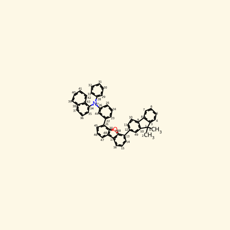 CC1(C)c2ccccc2-c2ccc(-c3cccc4c3oc3c(-c5cccc(N(c6ccccc6)c6cccc7ccccc67)c5)cccc34)cc21